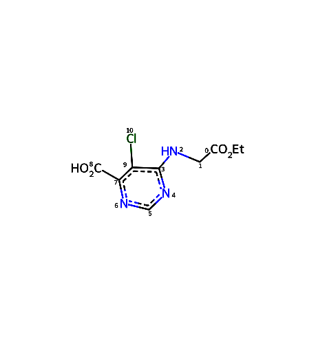 CCOC(=O)CNc1ncnc(C(=O)O)c1Cl